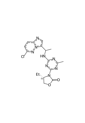 CC[C@H]1COC(=O)N1c1nc(C)nc(NC(C)c2cnc3ccc(Cl)nn23)n1